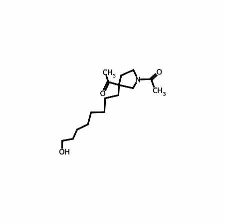 CC(=O)N1CCC(CCCCCCCCO)(C(C)=O)C1